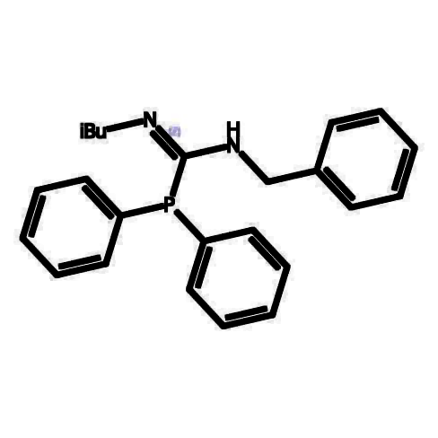 CCC(C)/N=C(/NCc1ccccc1)P(c1ccccc1)c1ccccc1